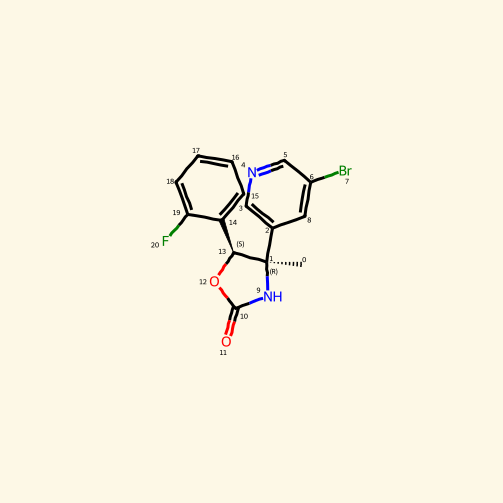 C[C@]1(c2cncc(Br)c2)NC(=O)O[C@H]1c1ccccc1F